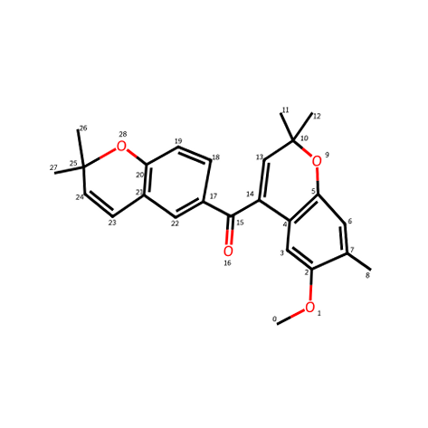 COc1cc2c(cc1C)OC(C)(C)C=C2C(=O)c1ccc2c(c1)C=CC(C)(C)O2